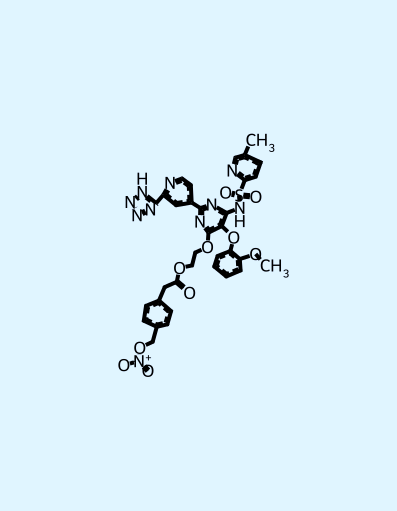 COc1ccccc1Oc1c(NS(=O)(=O)c2ccc(C)cn2)nc(-c2ccnc(-c3nnn[nH]3)c2)nc1OCCOC(=O)Cc1ccc(CO[N+](=O)[O-])cc1